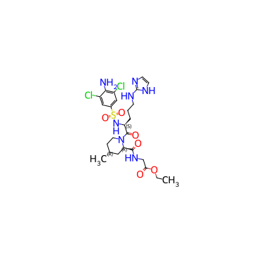 CCOC(=O)CNC(=O)[C@H]1C[C@H](C)CCN1C(=O)[C@H](CCCNc1ncc[nH]1)NS(=O)(=O)c1cc(Cl)c(N)c(Cl)c1